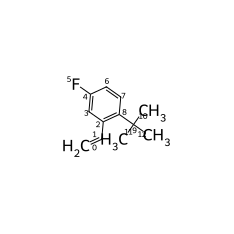 C=Cc1cc(F)ccc1C(C)(C)C